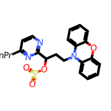 CCCc1ccnc(C(CCN2c3ccccc3Oc3ccccc32)O[SH](=O)=O)n1